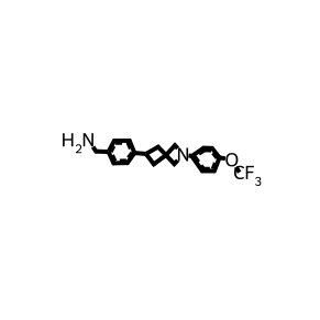 NCc1ccc(C2CC3(C2)CN(c2ccc(OC(F)(F)F)cc2)C3)cc1